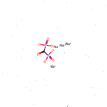 O=C(P(=O)([O-])[O-])P(=O)([O-])[O-].[Na+].[Na+].[Na+].[Na+]